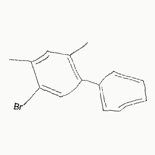 Cc1cc(C)c(-c2ccccc2)cc1Br